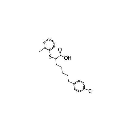 Cc1ccccc1SC(CCCCCc1ccc(Cl)cc1)C(=O)O